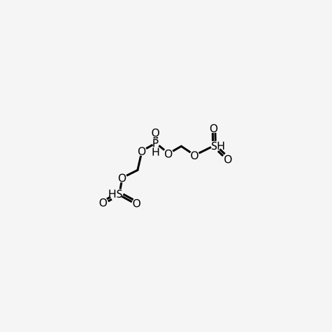 O=[PH](OCO[SH](=O)=O)OCO[SH](=O)=O